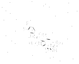 CC[C@H](C)[C@H]1C=Cc2c(cn(C)c2C(O)Nc2ccc(F)c(F)c2)S(=N)(=O)N1